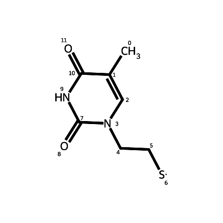 Cc1cn(CC[S])c(=O)[nH]c1=O